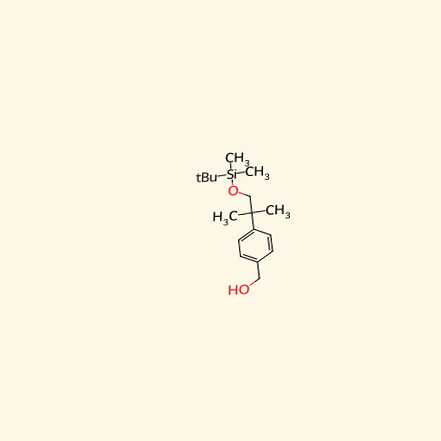 CC(C)(CO[Si](C)(C)C(C)(C)C)c1ccc(CO)cc1